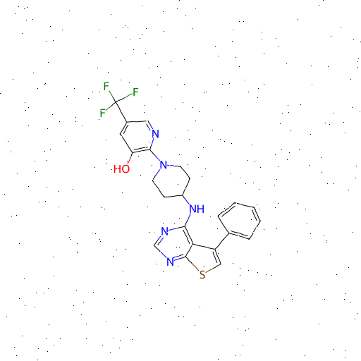 Oc1cc(C(F)(F)F)cnc1N1CCC(Nc2ncnc3scc(-c4ccccc4)c23)CC1